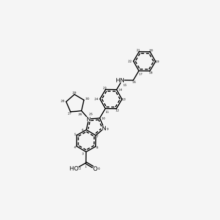 O=C(O)c1ccc2c(c1)nc(-c1ccc(NCc3ccccc3)cc1)n2C1CCCC1